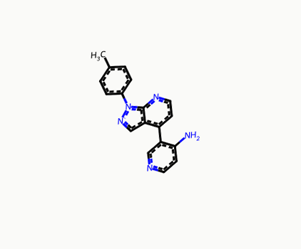 Cc1ccc(-n2ncc3c(-c4cnccc4N)ccnc32)cc1